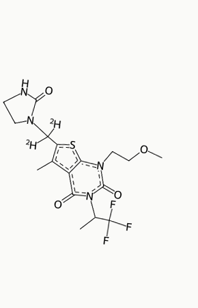 [2H]C([2H])(c1sc2c(c1C)c(=O)n(C(C)C(F)(F)F)c(=O)n2CCOC)N1CCNC1=O